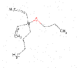 C=C[Si](C=C)(CCCC)OCCC